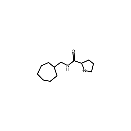 O=C(NCC1CCCCCC1)C1CCC[N]1